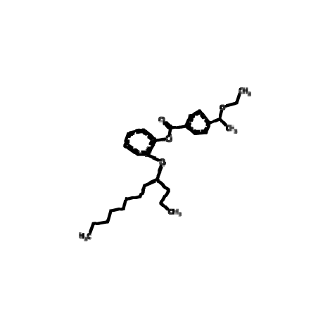 CCCCCCCCC(CCC)Oc1ccccc1OC(=O)c1ccc(C(C)OCC)cc1